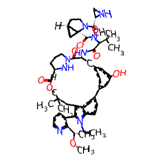 CCn1c(-c2cccnc2[C@H](C)OC)c2c3cc(ccc31)-c1cc(O)cc(c1)C[C@H](NC(=O)C(C(C)C)N(C)C(=O)[C@]13C[C@H]1CCN3C(=O)[C@@H]1CN1)C(=O)N1CCC[C@H](N1)C(=O)OCC(C)(C)C2